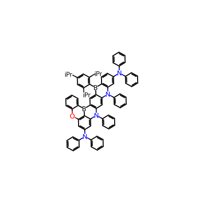 CC(C)c1cc(C(C)C)c(B2c3ccc(N(c4ccccc4)c4ccccc4)cc3N(c3ccccc3)c3cc4c(cc32)B2c3ccccc3Oc3cc(N(c5ccccc5)c5ccccc5)cc(c32)N4c2ccccc2)c(C(C)C)c1